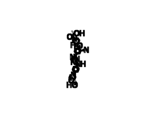 C[C@H](O)C(=O)N1CC[C@H](Oc2ccc(-c3ncnc(Nc4ccc(N5CCO[C@@H](CO)C5)cc4)n3)cc2C#N)C(F)(F)C1